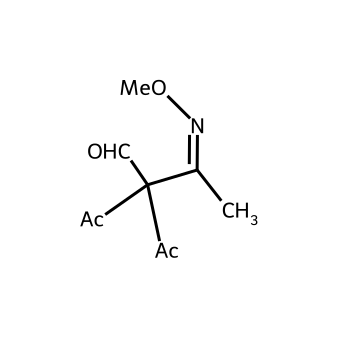 CO/N=C(/C)C(C=O)(C(C)=O)C(C)=O